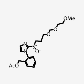 COCCOCOCCC[S+]([O-])c1nccn1-c1ccccc1COC(C)=O